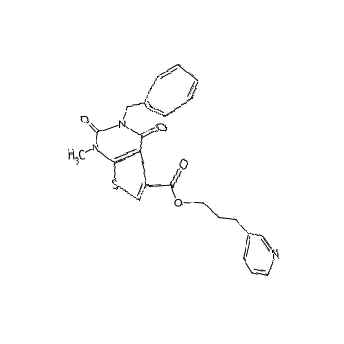 Cn1c(=O)n(Cc2ccccc2)c(=O)c2c(C(=O)OCCCc3cccnc3)csc21